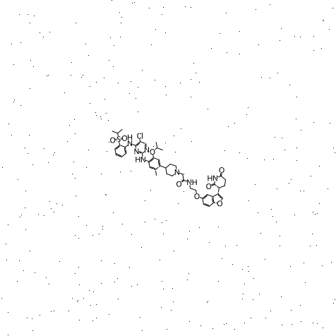 Cc1cc(Nc2ncc(Cl)c(Nc3ccccc3S(=O)(=O)C(C)C)n2)c(OC(C)C)cc1C1CCN(CC(=O)NCCOc2ccc3occ(C4CCC(=O)NC4=O)c3c2)CC1